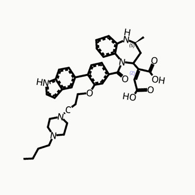 CCCCN1CCN(CCCOc2cc(C(=O)N3c4ccccc4N[C@@H](C)CC3/C(=C/C(=O)O)C(=O)O)ccc2-c2ccc3[nH]ccc3c2)CC1